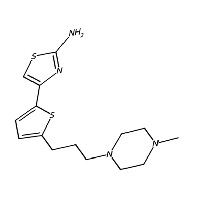 CN1CCN(CCCc2ccc(-c3csc(N)n3)s2)CC1